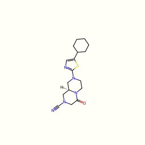 N#CN1CC(=O)N2CCN(c3ncc(C4CCCCC4)s3)C[C@@H]2C1